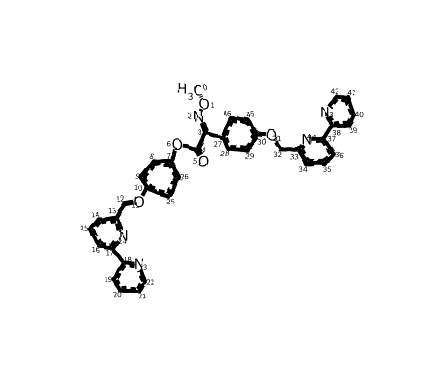 CON=C(C(=O)Oc1ccc(OCc2cccc(-c3ccccn3)n2)cc1)c1ccc(OCc2cccc(-c3ccccn3)n2)cc1